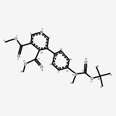 COC(=O)c1cncc(-c2ccc(N(C)C(=O)OC(C)(C)C)cc2)c1C(=O)OC